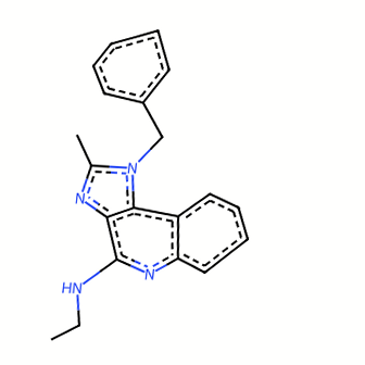 CCNc1nc2ccccc2c2c1nc(C)n2Cc1ccccc1